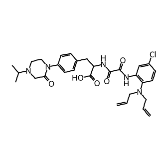 C=CCN(CC=C)c1ccc(Cl)cc1NC(=O)C(=O)NC(Cc1ccc(N2CCN(C(C)C)CC2=O)cc1)C(=O)O